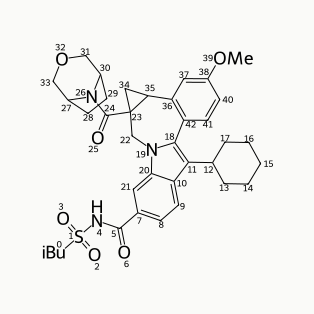 CCC(C)S(=O)(=O)NC(=O)c1ccc2c(C3CCCCC3)c3n(c2c1)CC1(C(=O)N2C4CCC2COC4)CC1c1cc(OC)ccc1-3